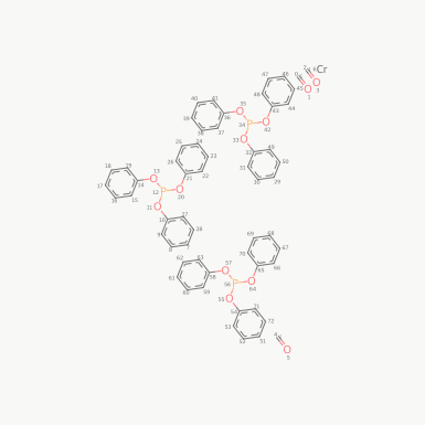 [C]=O.[C]=O.[C]=O.[Cr].c1ccc(OP(Oc2ccccc2)Oc2ccccc2)cc1.c1ccc(OP(Oc2ccccc2)Oc2ccccc2)cc1.c1ccc(OP(Oc2ccccc2)Oc2ccccc2)cc1